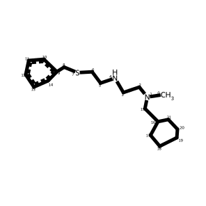 CN(CCNCCSCc1ccccc1)CC1CCCCC1